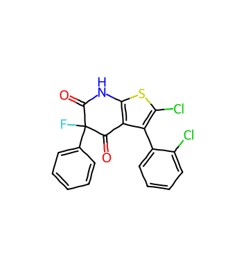 O=C1Nc2sc(Cl)c(-c3ccccc3Cl)c2C(=O)C1(F)c1ccccc1